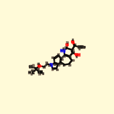 COC(=O)c1c(O)c2c([nH]c1=O)-c1ccc3c(ccn3CCO[Si](C)(C)C(C)(C)C)c1CCC2